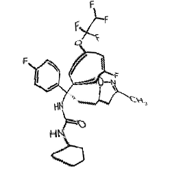 CC1=NOC(C[C@](NC(=O)NC2CCCC2)(c2ccc(F)cc2)c2cc(F)cc(OC(F)(F)C(F)F)c2)C1